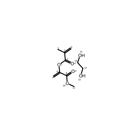 C=C(C)C(=O)OC(=C)C(=O)OC.OCCO